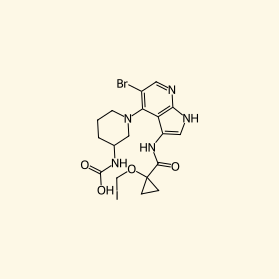 O=C(O)NC1CCCN(c2c(Br)cnc3[nH]cc(NC(=O)C4(OCI)CC4)c23)C1